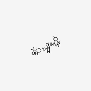 Cc1ccc2nncc(NCC(=O)NC3CN([C@H]4CC[C@H](C(O)C(C)C)CC4)C3)c2c1